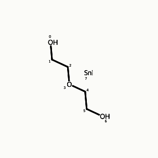 OCCOCCO.[Sn]